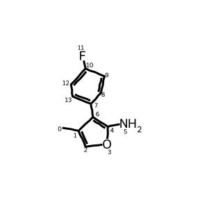 Cc1coc(N)c1-c1ccc(F)cc1